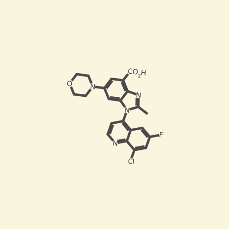 Cc1nc2c(C(=O)O)cc(N3CCOCC3)cc2n1-c1ccnc2c(Cl)cc(F)cc12